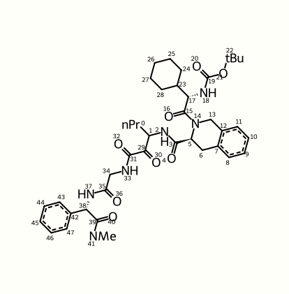 CCCC(NC(=O)[C@@H]1Cc2ccccc2CN1C(=O)[C@@H](NC(=O)OC(C)(C)C)C1CCCCC1)C(=O)C(=O)NCC(=O)N[C@H](C(=O)NC)c1ccccc1